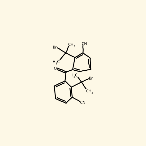 CC(C)(Br)c1c(C#N)cccc1C(=O)c1cccc(C#N)c1C(C)(C)Br